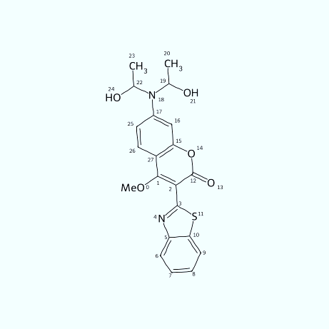 COc1c(-c2nc3ccccc3s2)c(=O)oc2cc(N(C(C)O)C(C)O)ccc12